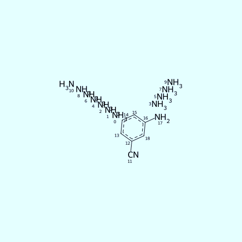 N.N.N.N.N.N.N.N.N.N.N.N#Cc1cccc(N)c1